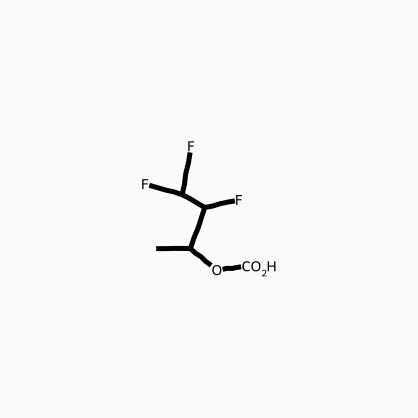 CC(OC(=O)O)C(F)C(F)F